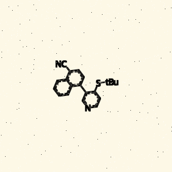 CC(C)(C)Sc1ccncc1-c1ccc(C#N)c2ccccc12